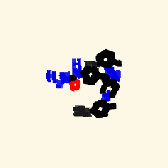 CCc1cccc(C)c1-n1nc2c(c1-c1ccc(NC(N)=O)cc1)CN(c1cc(C(C)(C)C)ccc1C)CC2